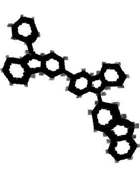 c1ccc(-n2c3ccccc3c3cc(-c4ccc5c(c4)c4ccccc4n5-c4ccc5c(c4)sc4ccccc45)ccc32)cc1